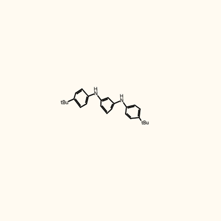 CC(C)(C)c1ccc(Nc2cccc(Nc3ccc(C(C)(C)C)cc3)c2)cc1